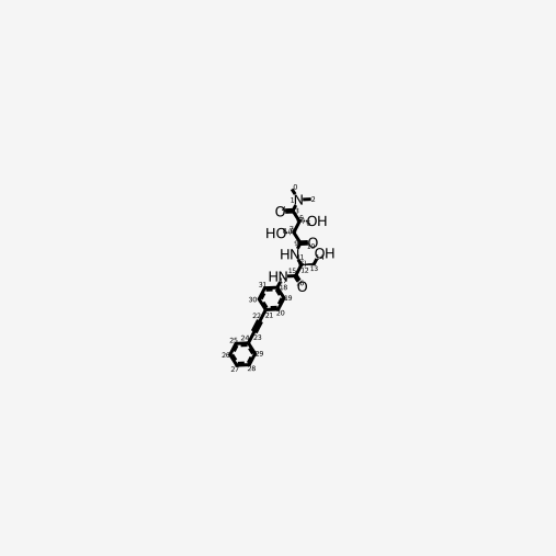 CN(C)C(=O)[C@H](O)[C@@H](O)C(=O)N[C@@H](CO)C(=O)Nc1ccc(C#Cc2ccccc2)cc1